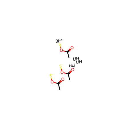 CC(=O)O[S-].CC(=O)O[S-].CC(=O)O[S-].[Bi+3].[LiH].[LiH].[LiH]